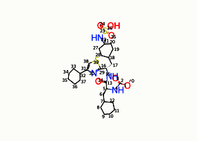 COC(=O)N[C@@H](CC1CCCCC1)C(=O)N[C@@H](CC1CCC(NS(=O)(=O)O)CC1)c1nc(C2CCCCC2)cs1